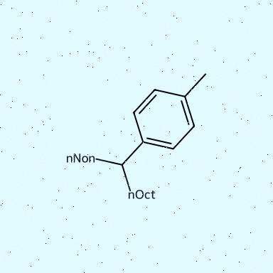 [CH2]CCCCCCCCC(CCCCCCCC)c1ccc(C)cc1